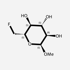 CO[C@H]1O[C@H](CF)[C@@H](O)[C@H](O)[C@H]1O